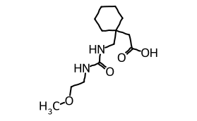 COCCNC(=O)NCC1(CC(=O)O)CCCCC1